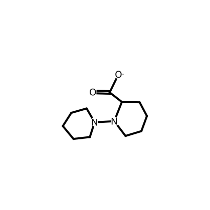 [O]C(=O)C1CCCCN1N1CCCCC1